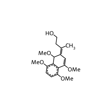 COC1=CC(=C(C)CCO)C(OC)c2c(OC)ccc(OC)c21